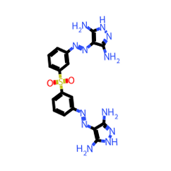 Nc1n[nH]c(N)c1N=Nc1cccc(S(=O)(=O)c2cccc(N=Nc3c(N)n[nH]c3N)c2)c1